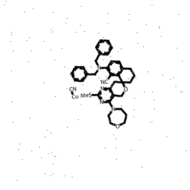 CSc1nc2c(c(N3CCCOCC3)n1)COC1(CCCc3ccc(N(Cc4ccccc4)Cc4ccccc4)c(C#N)c31)C2.N#[C][Cu]